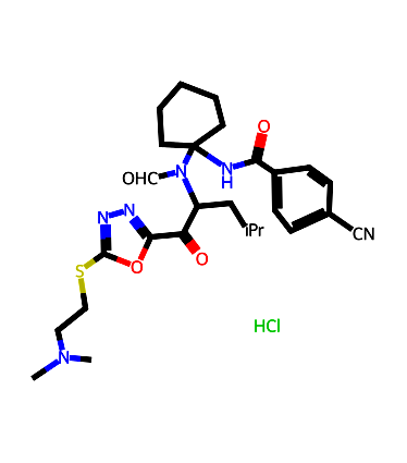 CC(C)CC(C(=O)c1nnc(SCCN(C)C)o1)N(C=O)C1(NC(=O)c2ccc(C#N)cc2)CCCCC1.Cl